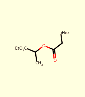 CCCCCCCC(=O)OC(C)C(=O)OCC